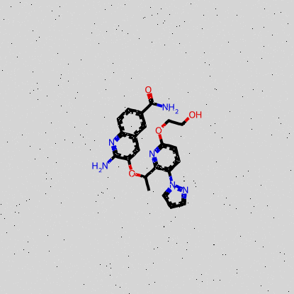 CC(Oc1cc2cc(C(N)=O)ccc2nc1N)c1nc(OCCO)ccc1-n1cccn1